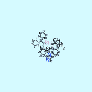 BC=C(c1ccccc1)c1ccccc1.C=C(C)CC[SiH2]C(c1ccccc1)(c1ccccc1)n1ccnc1